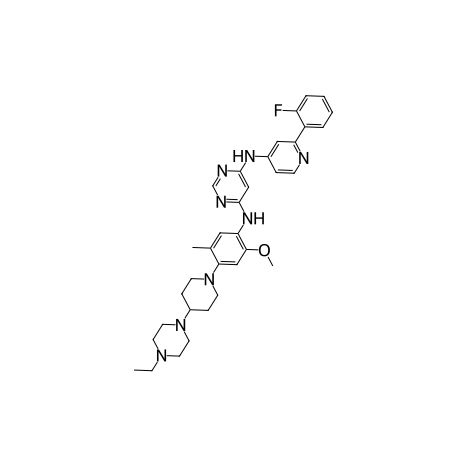 CCN1CCN(C2CCN(c3cc(OC)c(Nc4cc(Nc5ccnc(-c6ccccc6F)c5)ncn4)cc3C)CC2)CC1